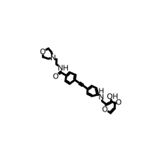 O=C(NCCN1CCOCC1)c1ccc(C#Cc2ccc(NCc3occc(=O)c3O)cc2)cc1